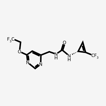 O=C(NCc1cc(OCC(F)(F)F)ncn1)N[C@@H]1C=C1C(F)(F)F